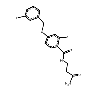 NC(=O)CCNC(=O)c1ccc(OCc2cccc(F)c2)cc1F